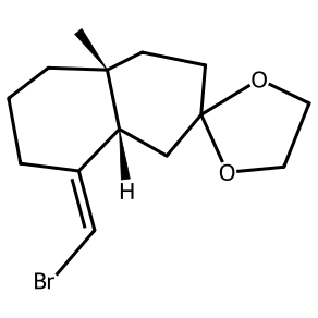 C[C@]12CCC/C(=C\Br)[C@H]1CC1(CC2)OCCO1